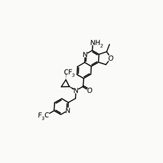 CC1OCc2c1c(N)nc1ccc(C(=O)N(Cc3ccc(C(F)(F)F)cn3)[C@H]3C[C@@H]3C(F)(F)F)cc21